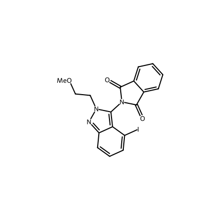 COCCn1nc2cccc(I)c2c1N1C(=O)c2ccccc2C1=O